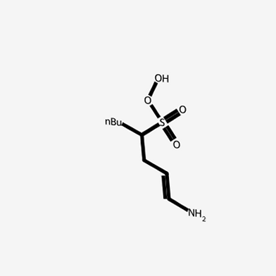 CCCCC(CC=CN)S(=O)(=O)OO